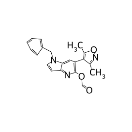 Cc1noc(C)c1-c1cc2c(ccn2Cc2ccccc2)nc1OC=O